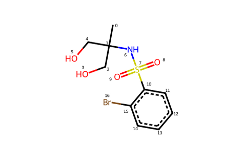 CC(CO)(CO)NS(=O)(=O)c1ccccc1Br